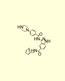 O=C(NCc1cccs1)c1ccc2[nH]nc(NC(=O)c3ccc(N4CCNCC4)cc3)c2c1